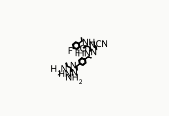 C=C(N)c1nc(-c2ccc(C(C)Nc3ncc(C#N)nc3C(=O)NC(C)c3ccc(F)c(F)c3)cc2)cnc1NN